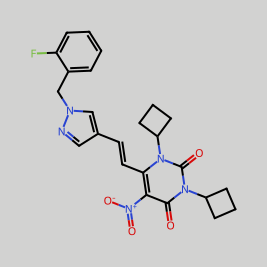 O=c1c([N+](=O)[O-])c(C=Cc2cnn(Cc3ccccc3F)c2)n(C2CCC2)c(=O)n1C1CCC1